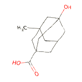 [CH2]C12CC3CC(O)(C1)CC(C(=O)O)(C3)C2